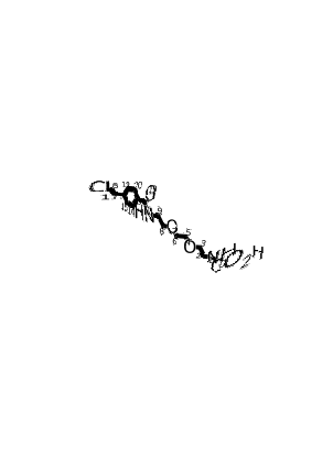 O=C(O)NCCOCCOCCNC(=O)c1ccc(CCl)cc1